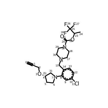 C#CCO[C@H]1CCN(c2cc(Cl)ccc2CN2CCN(C(=O)OC(C)C(F)(F)F)CC2)C1